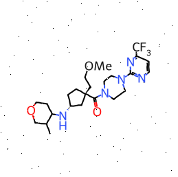 COCC[C@]1(C(=O)N2CCN(c3nccc(C(F)(F)F)n3)CC2)CC[C@@H](NC2CCOCC2C)C1